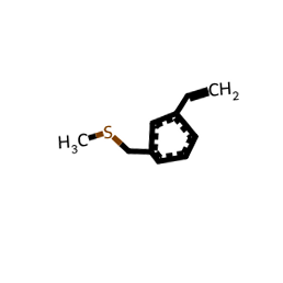 C=Cc1cccc(CSC)c1